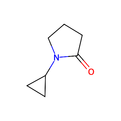 O=C1CCCN1C1CC1